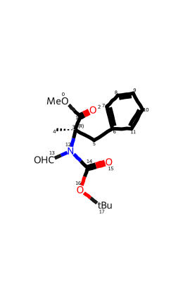 COC(=O)[C@@](C)(Cc1ccccc1)N(C=O)C(=O)OC(C)(C)C